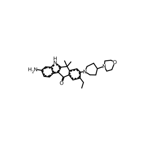 CCc1cc2c(cc1N1CCC(N3CCOCC3)CC1)C(C)(C)c1[nH]c3cc(N)ccc3c1C2=O